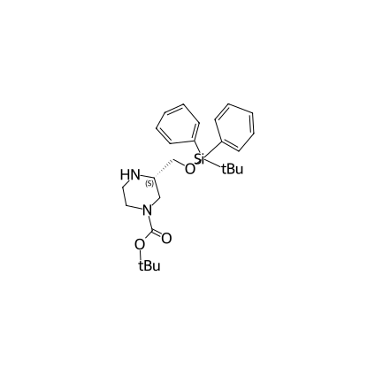 CC(C)(C)OC(=O)N1CCN[C@H](CO[Si](c2ccccc2)(c2ccccc2)C(C)(C)C)C1